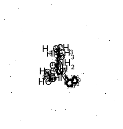 C[C@@H](CC(=O)NCc1cccc2ccccc12)NC(=O)[C@@H](N)CC(=O)NC(C)(C)C.O=C(O)C(F)(F)F